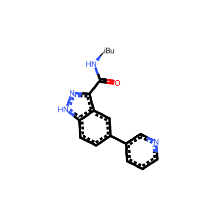 CC[C@H](C)NC(=O)c1n[nH]c2ccc(-c3cccnc3)cc12